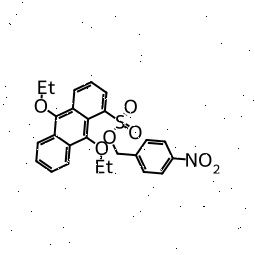 CCOc1c2ccccc2c(OCC)c2c(S(=O)(=O)OCc3ccc([N+](=O)[O-])cc3)cccc12